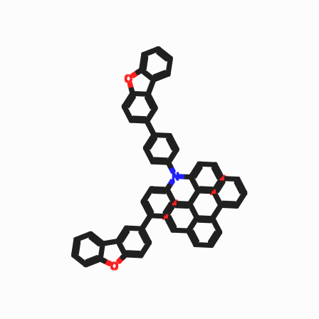 c1ccc(-c2cccc3cccc(-c4ccccc4N(c4ccc(-c5ccc6oc7ccccc7c6c5)cc4)c4ccc(-c5ccc6oc7ccccc7c6c5)cc4)c23)cc1